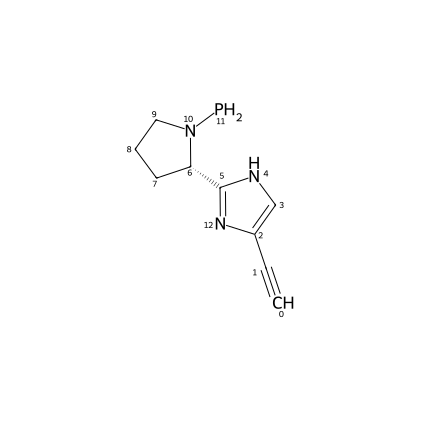 C#Cc1c[nH]c([C@@H]2CCCN2P)n1